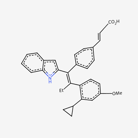 CC/C(=C(/c1ccc(/C=C/C(=O)O)cc1)c1cc2ccccc2[nH]1)c1ccc(OC)cc1C1CC1